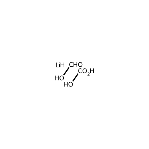 O=C(O)O.O=CO.[LiH]